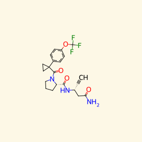 C#C[C@H](CC(N)=O)NC(=O)[C@@H]1CCCN1C(=O)C1(c2ccc(OC(F)(F)F)cc2)CC1